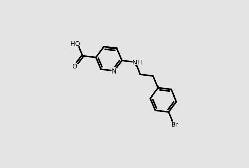 O=C(O)c1ccc(NCCc2ccc(Br)cc2)nc1